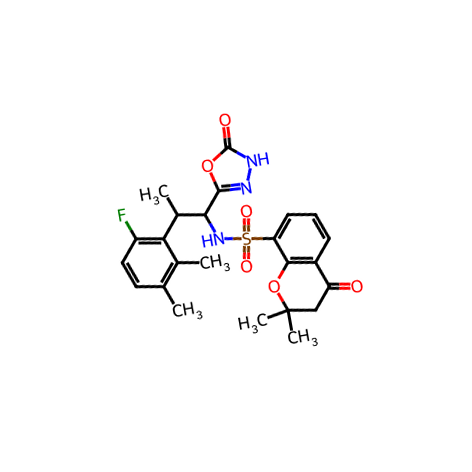 Cc1ccc(F)c(C(C)C(NS(=O)(=O)c2cccc3c2OC(C)(C)CC3=O)c2n[nH]c(=O)o2)c1C